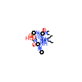 CCCCN(CCCC)c1nc(Nc2cc(N(CC)CC)c(OC)cc2/N=N/c2ccccc2)nc(Nc2cc(N(CC)CC)c(OC)cc2/N=N/c2cccc(S(=O)(=O)O)c2)n1